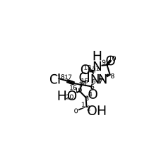 C[C@H](O)[C@H]1O[C@@H](n2ncc(=O)[nH]c2=O)[C@@](Cl)(C#CCl)C1O